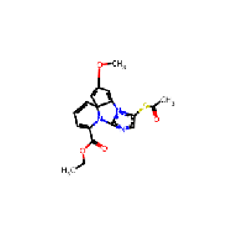 CCOC(=O)C1=CC=CC23C=CC(OC)C=C2n2c(SC(C)=O)cnc2N13